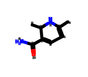 C[C]1NC(C)=CC=C1C(N)=O